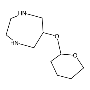 C1CCC(OC2CNCCNC2)OC1